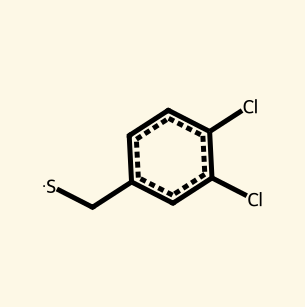 [S]Cc1ccc(Cl)c(Cl)c1